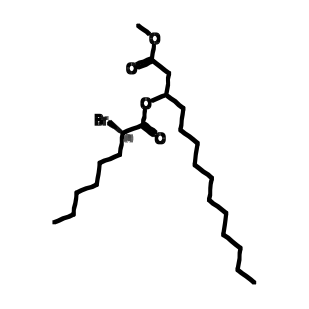 CCCCCCCCCCCC(CC(=O)OC)OC(=O)[C@H](Br)CCCCCC